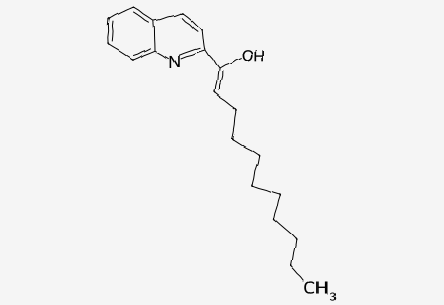 CCCCCCCCCC=C(O)c1ccc2ccccc2n1